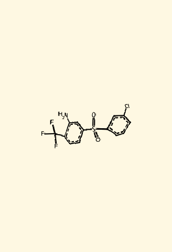 Nc1cc(S(=O)(=O)c2cccc(Cl)c2)ccc1C(F)(F)F